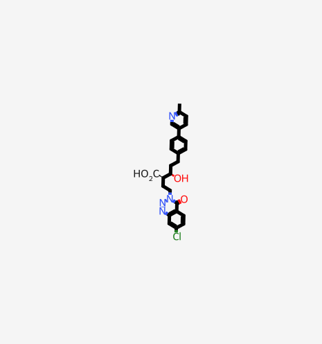 Cc1ccc(-c2ccc(CC[C@@H](O)[C@H](CCn3nnc4cc(Cl)ccc4c3=O)C(=O)O)cc2)cn1